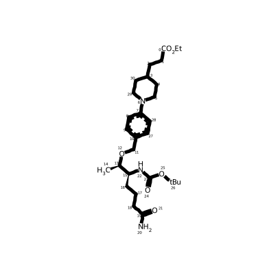 CCOC(=O)CCC1CCN(c2ccc(CO[C@H](C)[C@H](CCCC(N)=O)NC(=O)OC(C)(C)C)cc2)CC1